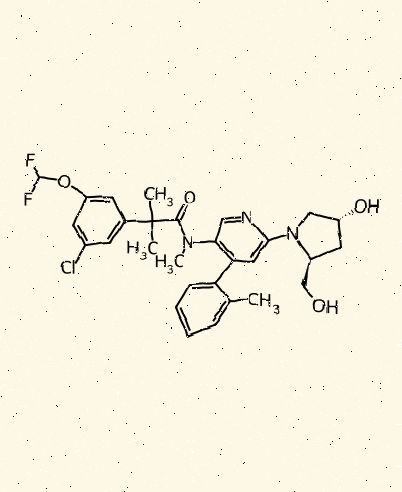 Cc1ccccc1-c1cc(N2C[C@H](O)C[C@H]2CO)ncc1N(C)C(=O)C(C)(C)c1cc(Cl)cc(OC(F)F)c1